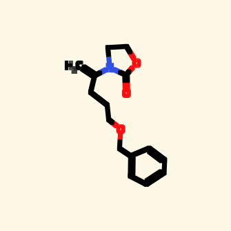 C=C(CCCOCc1ccccc1)N1CCOC1=O